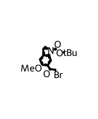 COc1cc2ccn(C(=O)OC(C)(C)C)c2cc1C(=O)CBr